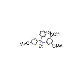 CC/C(=C(/c1ccccc1)c1ccc(OC)cc1)c1cc(OC)cc(B(O)O)c1